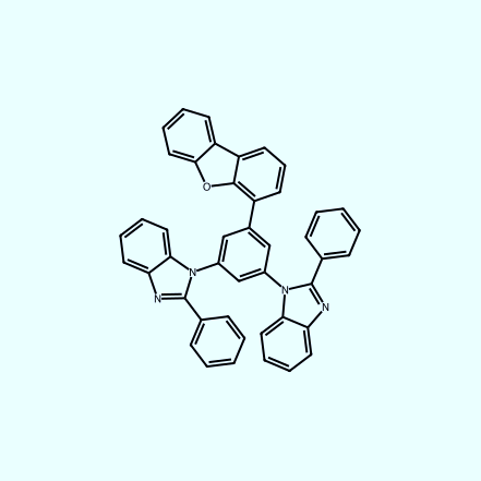 c1ccc(-c2nc3ccccc3n2-c2cc(-c3cccc4c3oc3ccccc34)cc(-n3c(-c4ccccc4)nc4ccccc43)c2)cc1